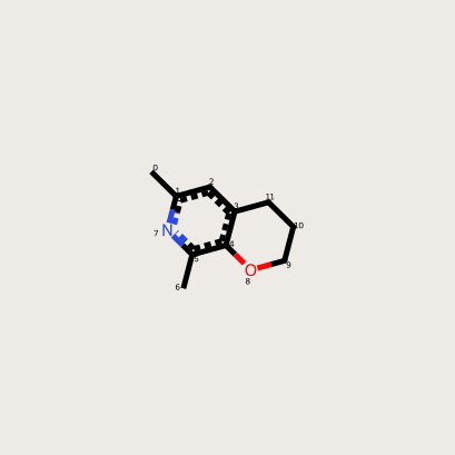 Cc1cc2c(c(C)n1)OCCC2